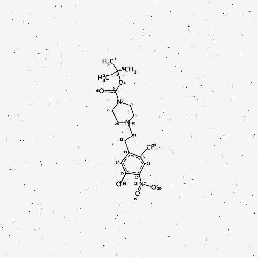 CC(C)(C)OC(=O)N1CCN(CCc2cc(Cl)c([N+](=O)[O-])cc2Cl)CC1